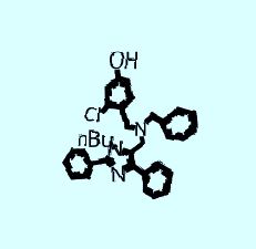 CCCCn1c(-c2ccccc2)nc(-c2ccccc2)c1CN(Cc1ccccc1)Cc1ccc(O)cc1Cl